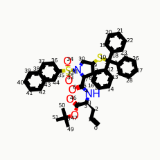 C=CC[C@H](NC(=O)C1CC(SC(c2ccccc2)(c2ccccc2)c2ccccc2)CN1S(=O)(=O)c1ccc2ccccc2c1)C(=O)OC(C)(C)C